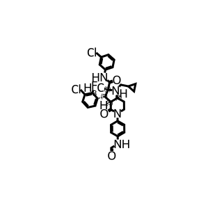 C[C@]1(C(=O)Nc2cccc(Cl)c2)[C@@H](c2cccc(Cl)c2F)[C@@H]2C(=O)N(c3ccc(NC=O)cc3)CC[C@@H]2N1CC1CC1